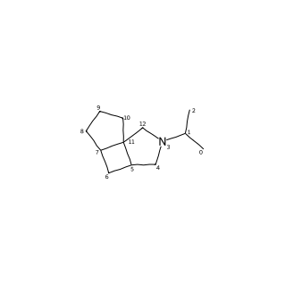 CC(C)N1CC2CC3CCCC32C1